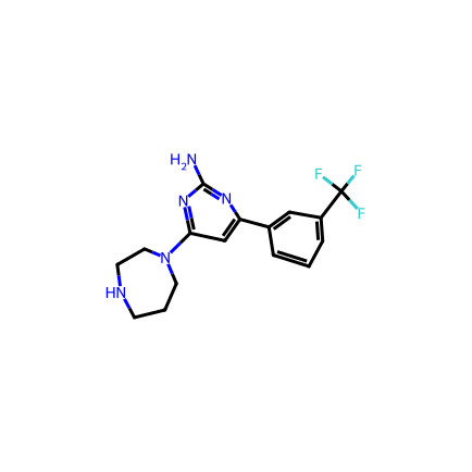 Nc1nc(-c2cccc(C(F)(F)F)c2)cc(N2CCCNCC2)n1